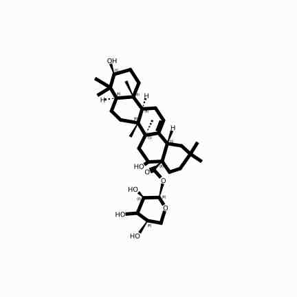 CC1(C)CC[C@]2(C(=O)O[C@H]3OC[C@@H](O)C(O)[C@H]3O)C(O)C[C@]3(C)C(=CC[C@@H]4[C@@]5(C)CC[C@H](O)C(C)(C)[C@@H]5CC[C@]43C)[C@@H]2C1